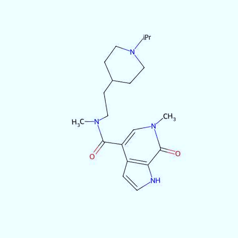 CC(C)N1CCC(CCN(C)C(=O)c2cn(C)c(=O)c3[nH]ccc23)CC1